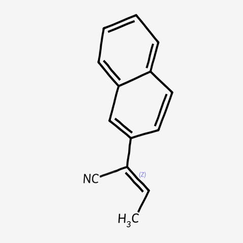 C/C=C(\C#N)c1ccc2ccccc2c1